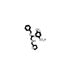 Cc1ccc(S(=O)(=O)O)cc1.O=C(CNCC1CCCO1)OCc1ccccc1